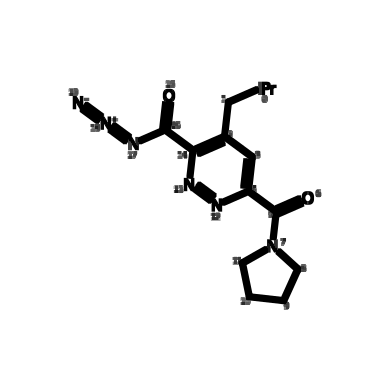 CC(C)Cc1cc(C(=O)N2CCCC2)nnc1C(=O)N=[N+]=[N-]